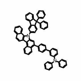 c1ccc(N(c2ccccc2)c2cccc(-c3ccc(-c4cc5c(c6ccccc46)c4ccc6ccccc6c4n5-c4ccc5c(c4)-c4ccccc4C5(c4ccccc4)c4ccccc4)cc3)c2)cc1